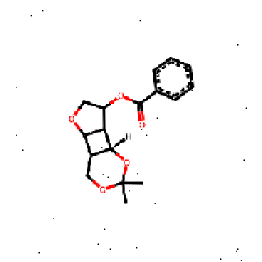 CC1(C)OCC2C3OCC(OC(=O)c4ccccc4)C3[C@@H]2O1